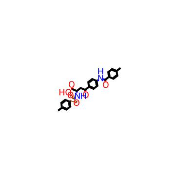 Cc1ccc(C(=O)Nc2ccc(C(=O)CC(NS(=O)(=O)c3ccc(C)cc3)C(=O)O)cc2)cc1